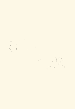 CC(C)(CC[S+]([O-])CC[S+]([O-])CCC(C)(C)Cc1conc1O)Cc1conc1O